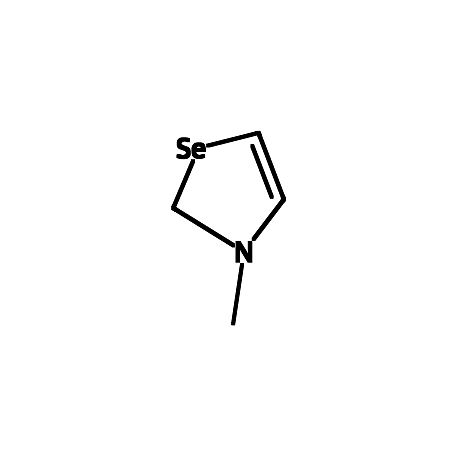 CN1C=C[Se]C1